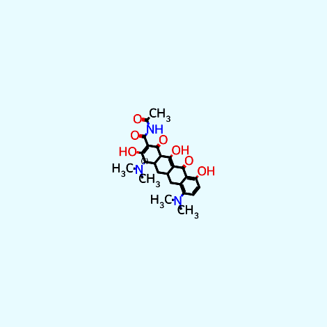 CC(=O)NC(=O)C1=C(O)[C@@H](N(C)C)C2CC3Cc4c(N(C)C)ccc(O)c4C(=O)C3=C(O)C2C1=O